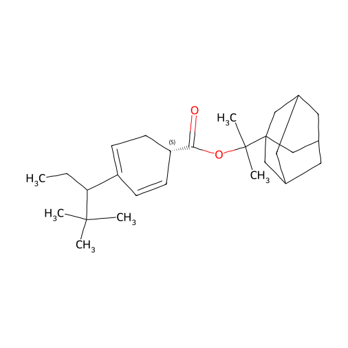 CCC(C1=CC[C@H](C(=O)OC(C)(C)C23CC4CC(CC(C4)C2)C3)C=C1)C(C)(C)C